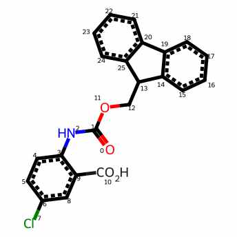 O=C(Nc1ccc(Cl)cc1C(=O)O)OCC1c2ccccc2-c2ccccc21